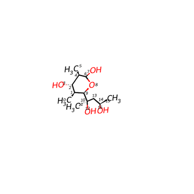 C[C@H]1[C@H](O)[C@@H](C)C(O)O[C@H]1[C@](C)(O)C[C@@H](C)O